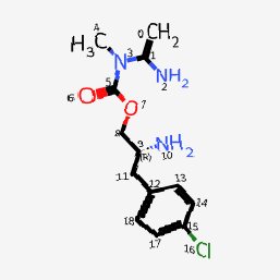 C=C(N)N(C)C(=O)OC[C@H](N)Cc1ccc(Cl)cc1